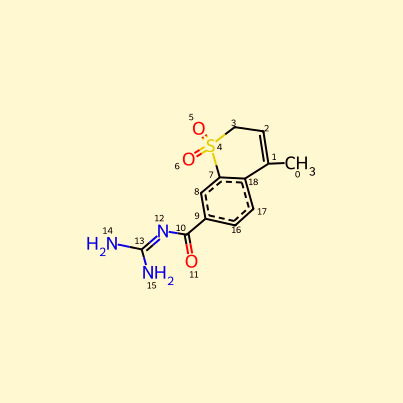 CC1=CCS(=O)(=O)c2cc(C(=O)N=C(N)N)ccc21